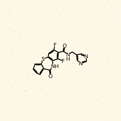 O=C1Nc2c(cc(F)c(C(=O)NCc3cncnc3)c2F)Sc2ccccc21